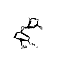 COc1ccc(Oc2cc(Br)ncn2)cc1C